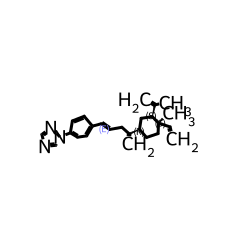 C=C[C@]1(C)CC[C@@H](C(=C)C/C=C/c2ccc(-n3cncn3)cc2)C[C@H]1C(=C)C